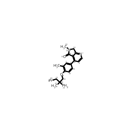 Cc1cc(-c2ccnc3c2C(=O)N(C)C3)ccc1OCC(C)(P)CC(C)C